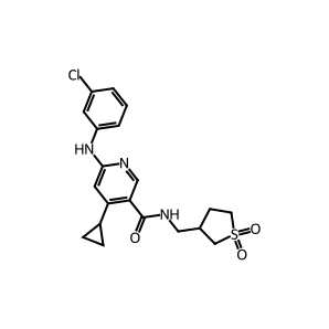 O=C(NCC1CCS(=O)(=O)C1)c1cnc(Nc2cccc(Cl)c2)cc1C1CC1